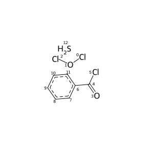 ClOCl.O=C(Cl)c1ccccc1.S